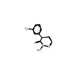 O=C1C(c2cccc(C(F)(F)F)c2)CCON1O